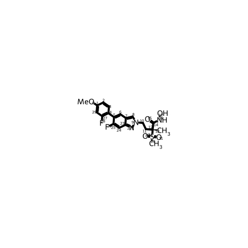 COc1ccc(-c2cc3cn(CC[C@](C)(C(=O)NO)S(C)(=O)=O)nc3cc2F)c(F)c1